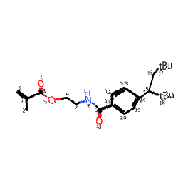 C=C(C)C(=O)OCCNC(=O)c1ccc(C(CC(C)(C)C)C(C)(C)C)cc1